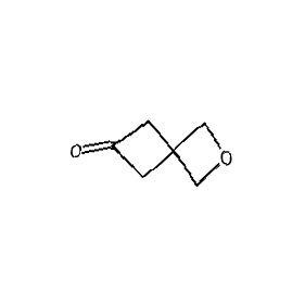 O=C1CC2(COC2)C1